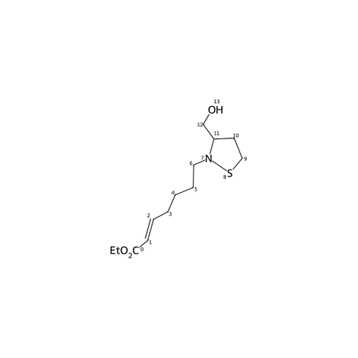 CCOC(=O)C=CCCCCN1SCCC1CO